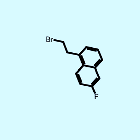 Fc1ccc2c(CCBr)cccc2c1